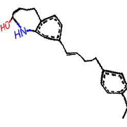 CCc1ccc(CC/C=C/c2ccc3c(c2)NC(O)CC3)cc1